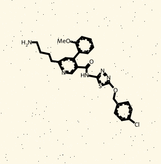 COc1ccccc1-c1cc(CCCCN)ncc1C(=O)Nc1nnc(OCc2ccc(Cl)cc2)s1